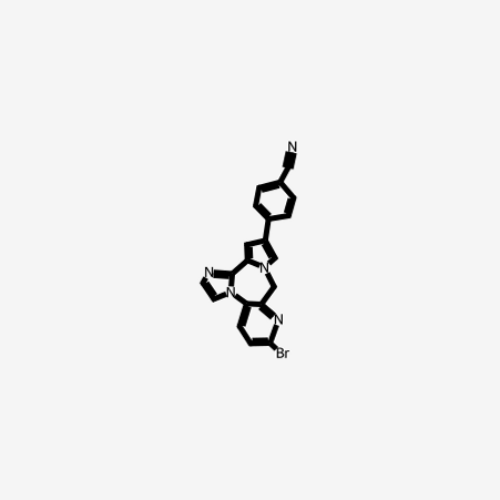 N#Cc1ccc(-c2cc3n(c2)Cc2nc(Br)ccc2-n2ccnc2-3)cc1